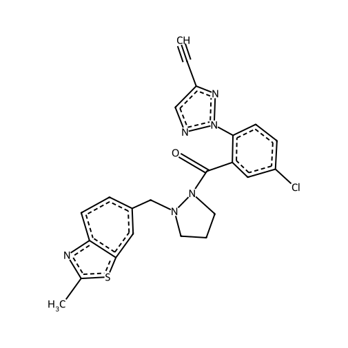 C#Cc1cnn(-c2ccc(Cl)cc2C(=O)N2CCCN2Cc2ccc3nc(C)sc3c2)n1